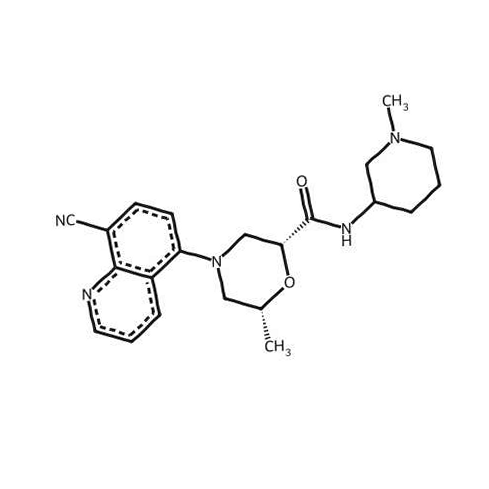 C[C@@H]1CN(c2ccc(C#N)c3ncccc23)C[C@H](C(=O)NC2CCCN(C)C2)O1